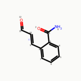 NC(=O)c1ccccc1/C=C/[C]=O